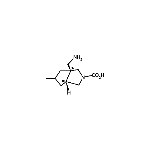 CC1C[C@H]2CN(C(=O)O)C[C@@]2(CN)C1